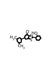 Cc1cc(C)cc(-c2cc(Cl)c3nc(-c4ccccc4O)sc3c2)c1